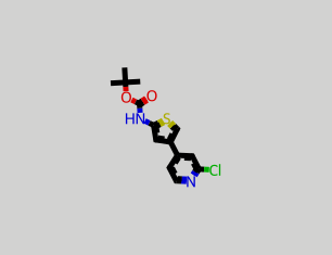 CC(C)(C)OC(=O)Nc1cc(-c2ccnc(Cl)c2)cs1